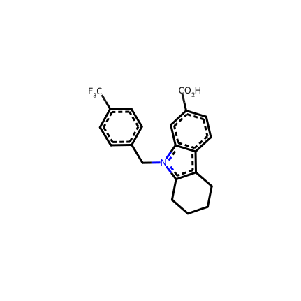 O=C(O)c1ccc2c3c(n(Cc4ccc(C(F)(F)F)cc4)c2c1)CCCC3